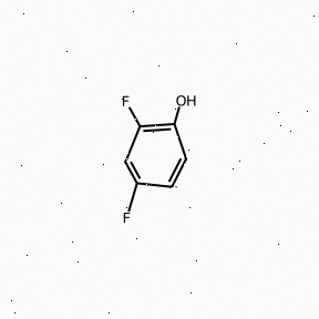 Oc1c[c]c(F)cc1F